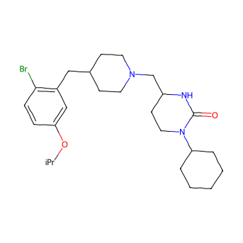 CC(C)Oc1ccc(Br)c(CC2CCN(CC3CCN(C4CCCCC4)C(=O)N3)CC2)c1